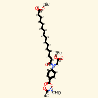 CCC(=O)N(C=O)OC(=O)c1ccc(N(CC(=O)OC(C)(C)C)C(=O)CCCCCCCCCCCCCCC(=O)OC(C)(C)C)cc1